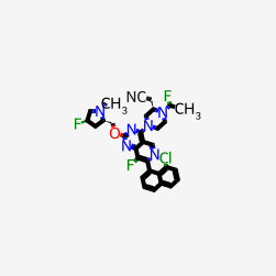 CC(F)N1CCN(c2nc(OC[C@@H]3C[C@@H](F)CN3C)nc3c(F)c(-c4cccc5cccc(Cl)c45)ncc23)C[C@@H]1CC#N